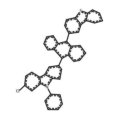 Clc1ccc2c3cc(-c4c5ccccc5c(-c5ccc6sc7ccccc7c6c5)c5ccccc45)ccc3n(-c3ccccc3)c2c1